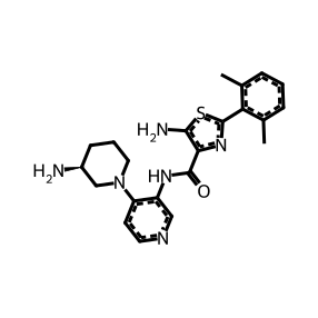 Cc1cccc(C)c1-c1nc(C(=O)Nc2cnccc2N2CCC[C@H](N)C2)c(N)s1